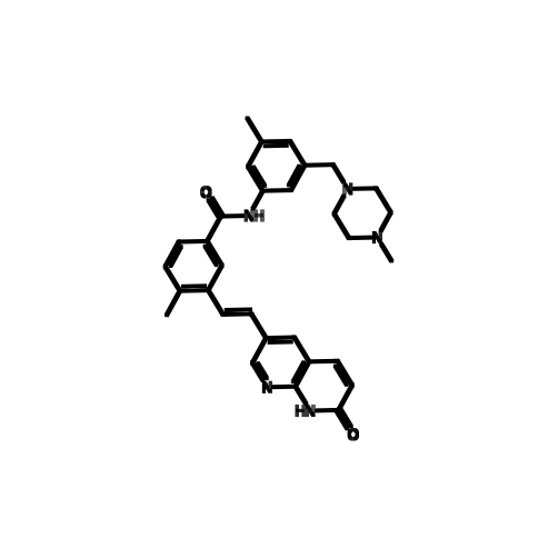 Cc1cc(CN2CCN(C)CC2)cc(NC(=O)c2ccc(C)c(/C=C/c3cnc4[nH]c(=O)ccc4c3)c2)c1